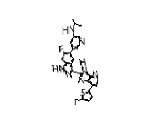 CC(C)Nc1cncc(-c2cc3c(-c4nc5c(-c6ccc(F)s6)ccnc5[nH]4)n[nH]c3cc2F)c1